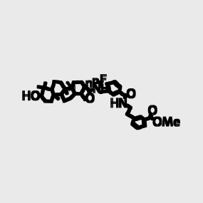 CCCC1(C(=O)NCc2cc(C(=O)NCCc3cccc(C(=O)OC)c3)ccc2F)CC[C@]2(C)C(CCC3C4(C)CCC(O)C(C)(C)C4CCC32C)C1C